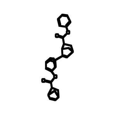 O=C(Oc1cc2cc(C3=CC4CC(C(=O)Oc5ccccc5)C3C4)c1o2)C1CC2C=CC1C2